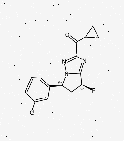 O=C(c1nc2n(n1)[C@H](c1cccc(Cl)c1)C[C@@H]2F)C1CC1